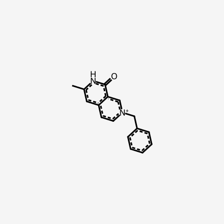 Cc1cc2cc[n+](Cc3ccccc3)cc2c(=O)[nH]1